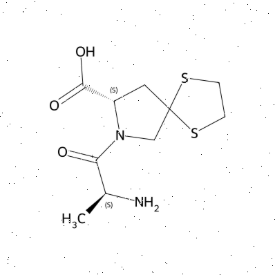 C[C@H](N)C(=O)N1CC2(C[C@H]1C(=O)O)SCCS2